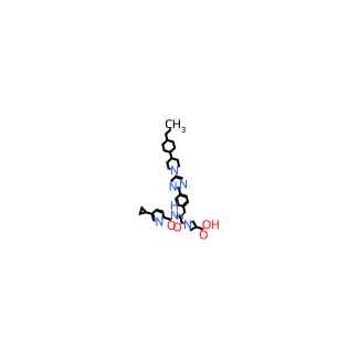 CCCC1CCC(C2CCN(c3cnc(-c4ccc(C[C@H](NC(=O)c5ccc(C6CC6)cn5)C(=O)N5CC(C(=O)O)C5)cc4)nc3)CC2)CC1